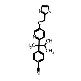 CC(C)C(C)(c1ccc(C#N)cc1)c1ccc(OCc2nccs2)cn1